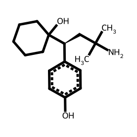 CC(C)(N)C[C@@H](c1ccc(O)cc1)C1(O)CCCCC1